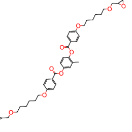 Cc1cc(OC(=O)c2ccc(OCCCCCCOCC3CO3)cc2)ccc1OC(=O)c1ccc(OCCCCCCOCC2CO2)cc1